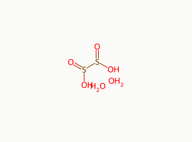 O.O.O=S(O)S(=O)O